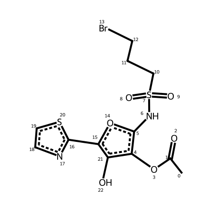 CC(=O)Oc1c(NS(=O)(=O)CCCBr)oc(-c2nccs2)c1O